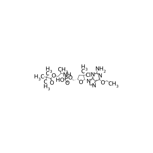 CCOc1nc(N)nc2c1ncn2[C@@H]1O[C@H](CO[P@@](=O)(O)N[C@H](C)COC(=O)C(C)(C)C)C[C@@]1(C)Cl